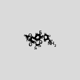 Cc1nc2c(=O)n3c4c(c(N5CC[C@@H](CN)C5)c(F)cc4c2o1)OC[C@@H]3C